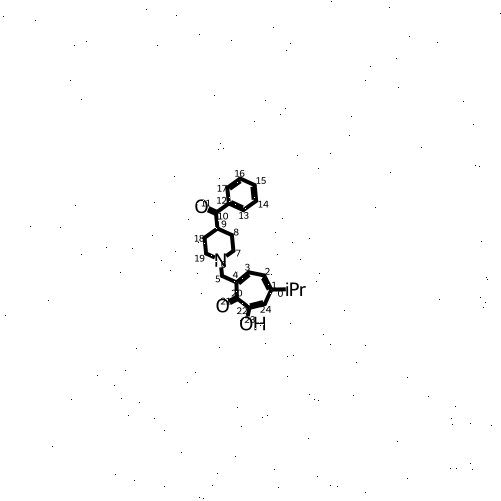 CC(C)c1ccc(CN2CCC(C(=O)c3ccccc3)CC2)c(=O)c(O)c1